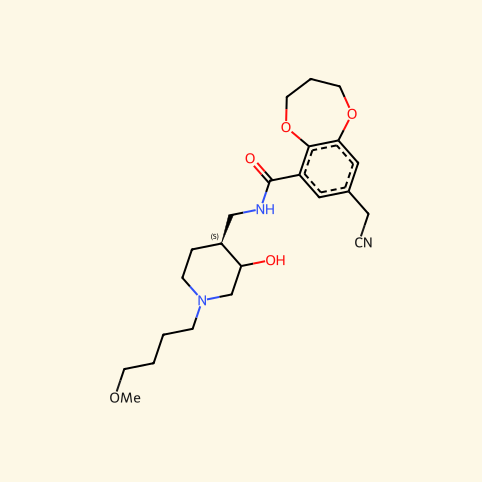 COCCCCN1CC[C@@H](CNC(=O)c2cc(CC#N)cc3c2OCCCO3)C(O)C1